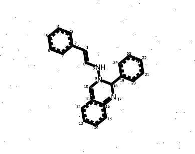 C(=Cc1ccccc1)NN1C=c2ccccc2=NC1c1ccccc1